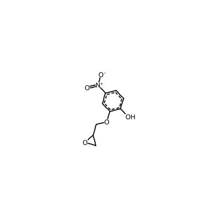 O=[N+]([O-])c1ccc(O)c(OCC2CO2)c1